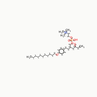 CCCCCCCCCCCOc1ccc(CCC(COP(=O)(O)OCC[N+](C)(C)C)CC(=O)CC)cc1